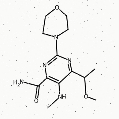 CNc1c(C(N)=O)nc(N2CCOCC2)nc1C(C)OC